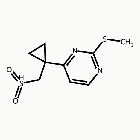 CSc1nccc(C2(C[SH](=O)=O)CC2)n1